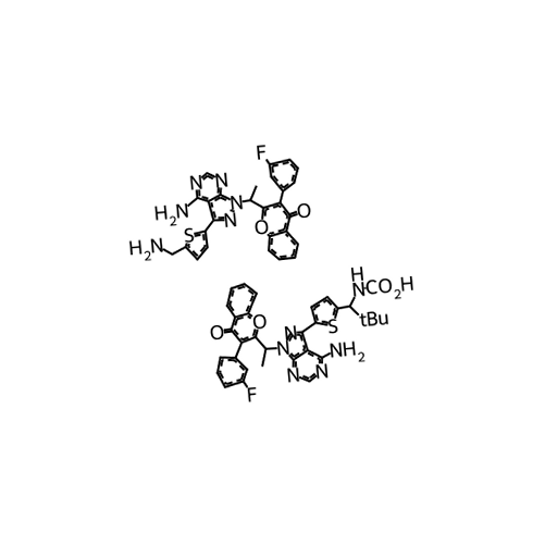 CC(c1oc2ccccc2c(=O)c1-c1cccc(F)c1)n1nc(-c2ccc(C(NC(=O)O)C(C)(C)C)s2)c2c(N)ncnc21.CC(c1oc2ccccc2c(=O)c1-c1cccc(F)c1)n1nc(-c2ccc(CN)s2)c2c(N)ncnc21